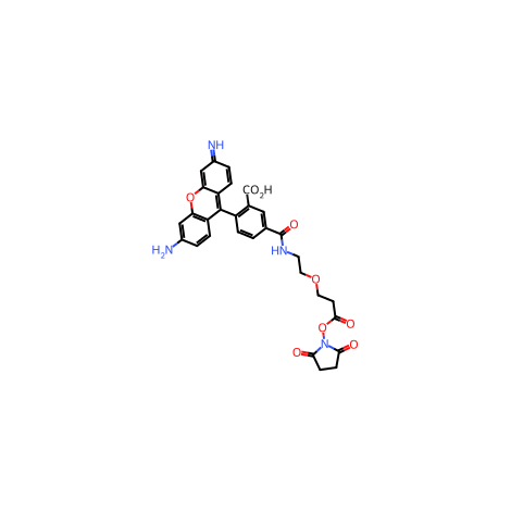 N=c1ccc2c(-c3ccc(C(=O)NCCOCCC(=O)ON4C(=O)CCC4=O)cc3C(=O)O)c3ccc(N)cc3oc-2c1